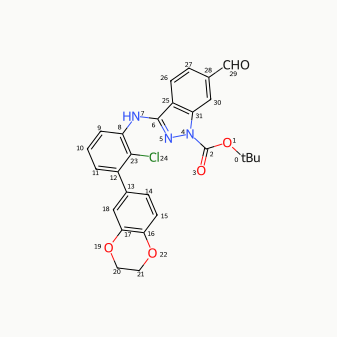 CC(C)(C)OC(=O)n1nc(Nc2cccc(-c3ccc4c(c3)OCCO4)c2Cl)c2ccc(C=O)cc21